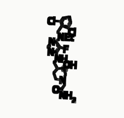 CCN(Cc1c(Cl)cccc1Cl)c1ncnc(NCC2CCN(CC(N)=O)C[C@H]2O)c1F